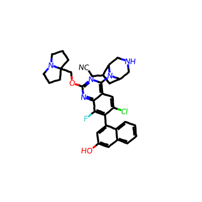 N#CCC1CC2CNCC1N2c1nc(OCC23CCCN2CCC3)nc2c(F)c(-c3cc(O)cc4ccccc34)c(Cl)cc12